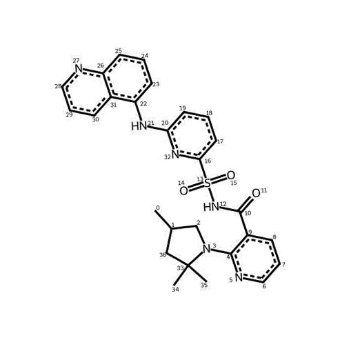 CC1CN(c2ncccc2C(=O)NS(=O)(=O)c2cccc(Nc3cccc4ncccc34)n2)C(C)(C)C1